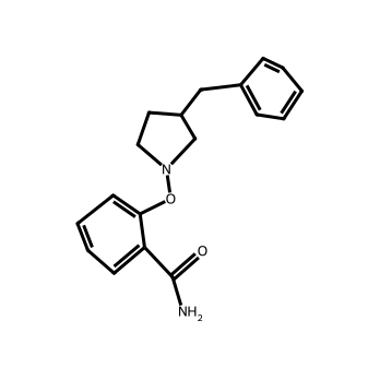 NC(=O)c1ccccc1ON1CCC(Cc2ccccc2)C1